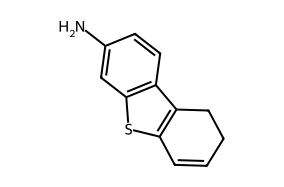 Nc1ccc2c3c(sc2c1)C=CCC3